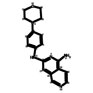 Nc1nc(Nc2ccc(N3CCOCC3)cc2)nc2cnccc12